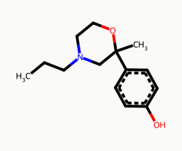 CCCN1CCOC(C)(c2ccc(O)cc2)C1